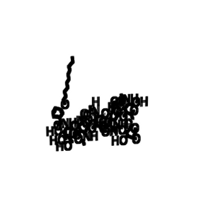 CCCCCCCCCCCOc1cccc(C(=O)NC2C(O[C@@H]3C(CO)OC(OC4C(CO)O[C@@H](O[C@@H]5C(CO)OC(OC6C(CO[C@@H]7OC8OC8C(O)C7O)O[C@@H](O)[C@@H](NC(C)=O)[C@@H]6O)C(NC(C)=O)C5O)[C@@H](NC(C)=O)[C@@H]4O)C(NC(C)=O)C3O)OC(CO)[C@@H](O)C2O)c1